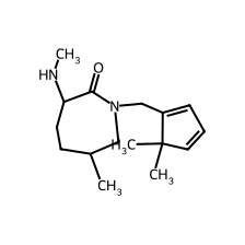 CNC1CCC(C)CN(CC2=CC=CC2(C)C)C1=O